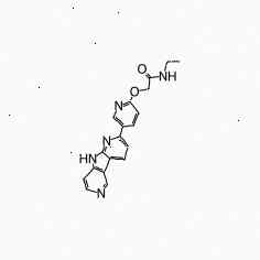 CCNC(=O)COc1ccc(-c2ccc3c(n2)[nH]c2ccncc23)cn1